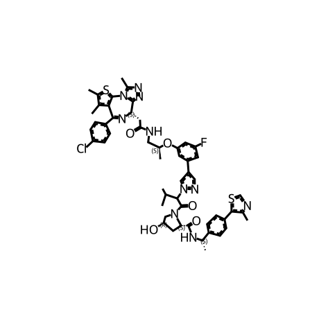 Cc1ncsc1-c1ccc([C@H](C)NC(=O)[C@@H]2C[C@@H](O)CN2C(=O)C(C(C)C)n2cc(-c3cc(F)cc(O[C@@H](C)CNC(=O)C[C@@H]4N=C(c5ccc(Cl)cc5)c5c(sc(C)c5C)-n5c(C)nnc54)c3)cn2)cc1